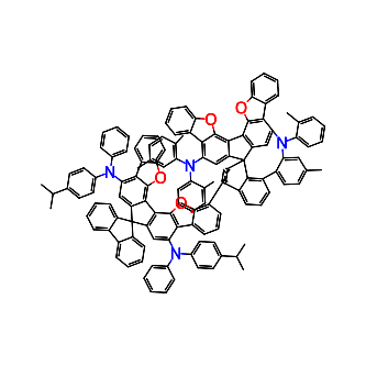 Cc1ccc(C)c(N(c2ccccc2C)c2cc3c(c4oc5ccccc5c24)-c2c4cc(c5c2oc2ccccc25)N(c2ccccc2C)c2cc(C)ccc2-c2cccc5c2C34c2cccc(-c3cccc4c3oc3c6c(cc(N(c7ccccc7)c7ccc(C(C)C)cc7)c34)C3(c4ccccc4-c4ccccc43)c3cc(N(c4ccccc4)c4ccc(C(C)C)cc4)c4c(oc7ccccc74)c3-6)c2-5)c1